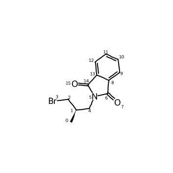 C[C@@H](CBr)CN1C(=O)c2ccccc2C1=O